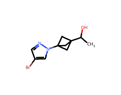 CC(O)C12CC(n3cc(Br)cn3)(C1)C2